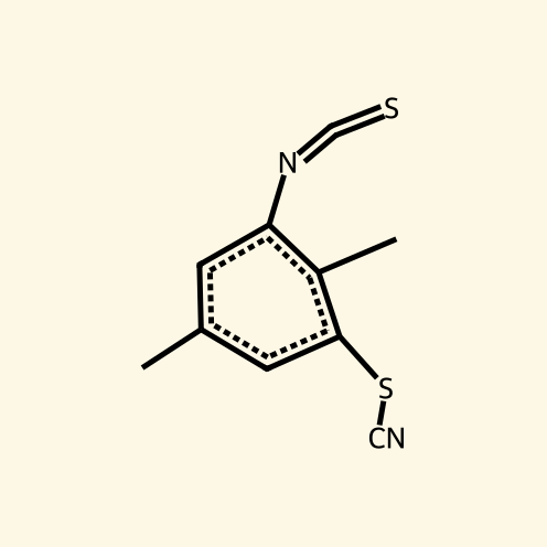 Cc1cc(N=C=S)c(C)c(SC#N)c1